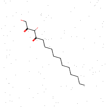 CCCCCCCCCCCC(=O)C(O)C(=O)CO